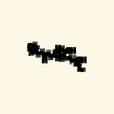 CCCC[C@](C)(O)C/C=C/[C@@H]1[C@H]2CC(CCNCCN3CCOCC3)=C[C@H]2C[C@H]1O